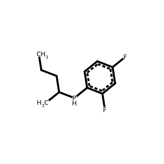 CCCC(C)Pc1ccc(F)cc1F